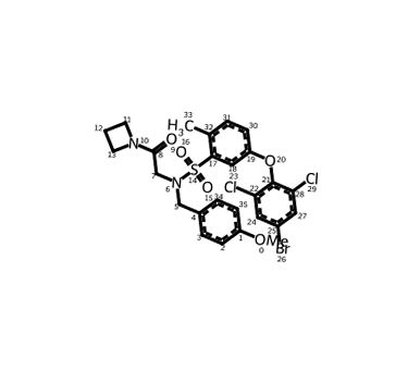 COc1ccc(CN(CC(=O)N2CCC2)S(=O)(=O)c2cc(Oc3c(Cl)cc(Br)cc3Cl)ccc2C)cc1